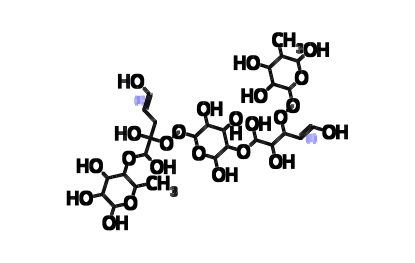 CC1OC(O)C(O)C(O)C1OC(O)C(O)(C/C=C/O)OOC1OC(O)C(OC(O)C(O)C(/C=C/O)OOC2OC(O)C(C)C(O)C2O)C(O)C1O